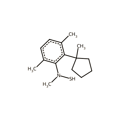 Cc1ccc(C)c(C2(C)CCCC2)c1N(C)S